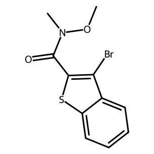 CON(C)C(=O)c1sc2ccccc2c1Br